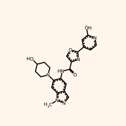 Cn1ncc2cc(NC(=O)c3coc(-c4ccnc(O)c4)n3)c(N3CCC(O)CC3)cc21